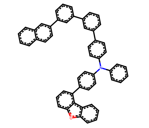 c1ccc(N(c2ccc(-c3cccc(-c4cccc(-c5ccc6ccccc6c5)c4)c3)cc2)c2ccc(-c3cccc4oc5ccccc5c34)cc2)cc1